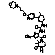 Cc1ccc(NC(=O)Nc2sc(C(C)(C)C)cc2C(=O)N2CCNC(=O)C2(C)C)cc1-c1ccc(OCCCN2CCOCC2)nc1